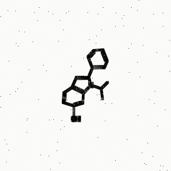 CC(C)n1c(-c2ccccc2)cc2ccc(O)cc21